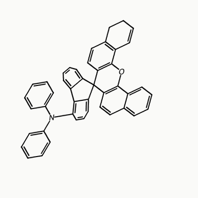 C1=Cc2c(ccc3c2Oc2c(ccc4ccccc24)C32c3ccccc3-c3c(N(c4ccccc4)c4ccccc4)cccc32)CC1